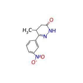 CC1CC(=O)NN=C1c1cccc([N+](=O)[O-])c1